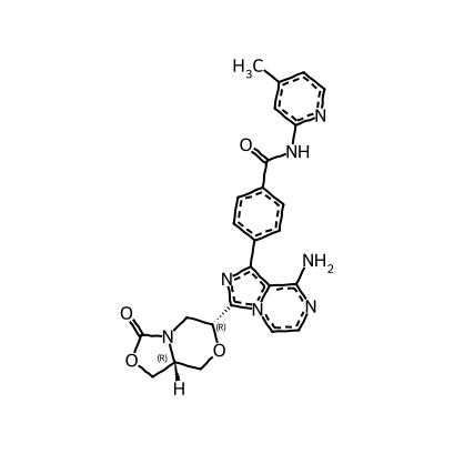 Cc1ccnc(NC(=O)c2ccc(-c3nc([C@H]4CN5C(=O)OC[C@H]5CO4)n4ccnc(N)c34)cc2)c1